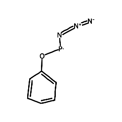 [N-]=[N+]=N[P]Oc1ccccc1